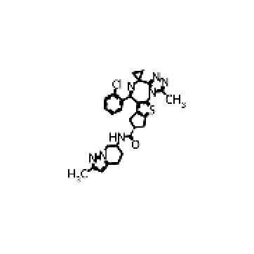 Cc1cc2n(n1)CC(NC(=O)[C@@H]1Cc3sc4c(c3C1)C(c1ccccc1Cl)=NC1(CC1)c1nnc(C)n1-4)CC2